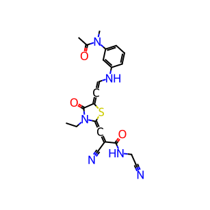 CCn1c(=C=C(C#N)C(=O)NCC#N)sc(=C=CNc2cccc(N(C)C(C)=O)c2)c1=O